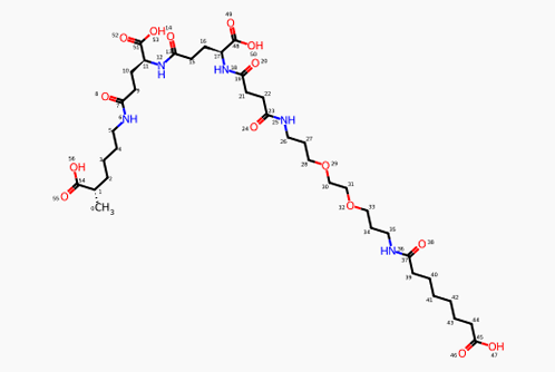 C[C@@H](CCCCNC(=O)CC[C@H](NC(=O)CC[C@H](NC(=O)CCC(=O)NCCCOCCOCCCNC(=O)CCCCCCC(=O)O)C(=O)O)C(=O)O)C(=O)O